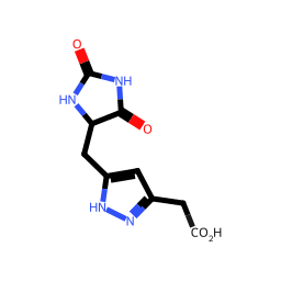 O=C(O)Cc1cc(CC2NC(=O)NC2=O)[nH]n1